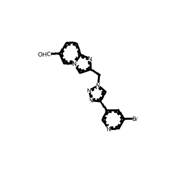 O=Cc1ccc2nc(Cn3cc(-c4cncc(Br)c4)nn3)cn2c1